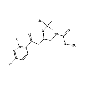 CC(C)(C)OC(=O)NCC(CC(=O)c1ccc(Cl)nc1F)O[Si](C)(C)C(C)(C)C